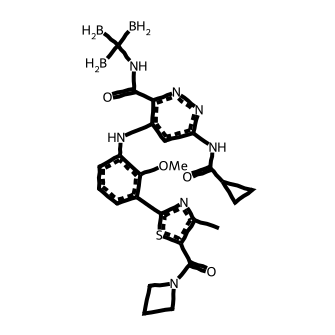 BC(B)(B)NC(=O)c1nnc(NC(=O)C2CC2)cc1Nc1cccc(-c2nc(C)c(C(=O)N3CCC3)s2)c1OC